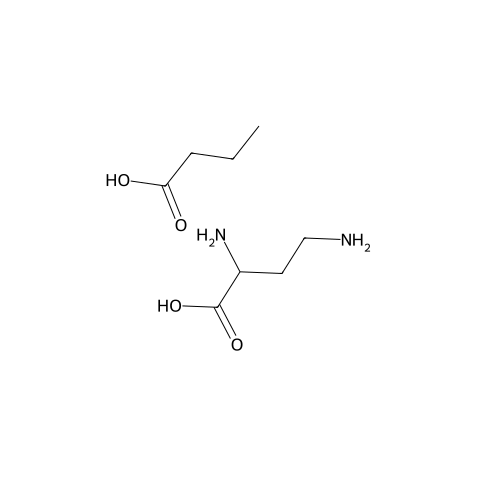 CCCC(=O)O.NCCC(N)C(=O)O